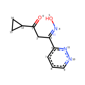 O=C(C/C(=N\O)c1cccnn1)C1CC1